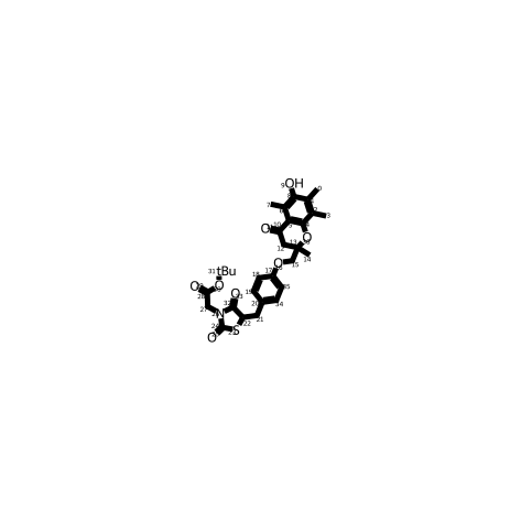 Cc1c(C)c2c(c(C)c1O)C(=O)CC(C)(COc1ccc(CC3SC(=O)N(CC(=O)OC(C)(C)C)C3=O)cc1)O2